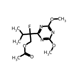 COc1nc(OC)nc(C(F)(COC(C)=O)C(C)C)n1